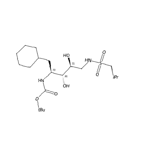 CC(C)CS(=O)(=O)NC[C@H](O)[C@H](O)[C@H](CC1CCCCC1)NC(=O)OC(C)(C)C